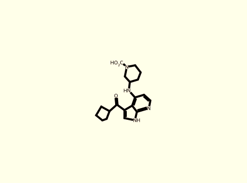 O=C(c1c[nH]c2nccc(NC3CCCN(C(=O)O)C3)c12)C1CCCC1